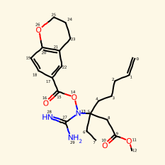 C=CCCCC(CC)(CC(=O)OC)N(OC(=O)c1ccc2c(c1)CCCO2)C(=N)N